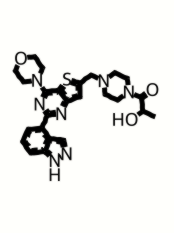 CC(O)C(=O)N1CCN(Cc2cc3nc(-c4cccc5[nH]ncc45)nc(N4CCOCC4)c3s2)CC1